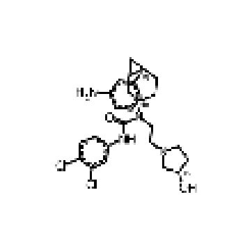 Nc1cccc([C@@]23CC[C@@H](N(CCN4CC[C@@H](O)C4)C(=O)Nc4ccc(Cl)c(Cl)c4)CC2C3)c1